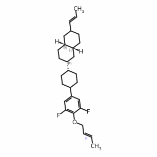 CC=CC1CC[C@@H]2C[C@H](C3CCC(c4cc(F)c(OC/C=C/C)c(F)c4)CC3)CC[C@@H]2C1